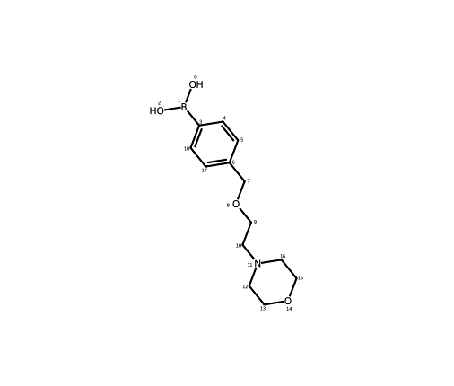 OB(O)c1ccc(COCCN2CCOCC2)cc1